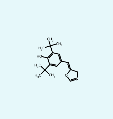 CC(C)(C)c1cc(C=C2CN=CO2)cc(C(C)(C)C)c1O